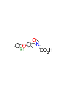 Cc1cc(OCc2ccccc2Br)ccc1C1CN(CCC(=O)O)CCO1